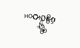 C[C@H]1CS(=O)(=O)CCN1C[C@H]1CN(S(=O)(=O)c2cccs2)CCN1c1ccc(O)cc1